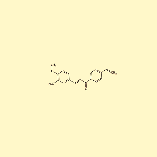 C=Cc1ccc(C(=O)C=Cc2ccc(OC)c(C)c2)cc1